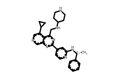 C[C@@H](Nc1cc(-c2nc(CNC3CCNCC3)c3c(C4CC4)cncc3n2)ccn1)c1ccccc1